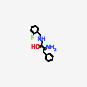 N[C@@H](Cc1ccccc1)[C@H](O)CNCc1ccccc1F